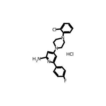 Cl.Nc1cc(N2CCN(c3ccccc3Cl)CC2)cc(-c2ccc(F)cc2)n1